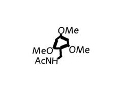 COc1cc(OC)c(CNC(C)=O)c(OC)c1